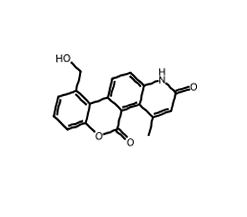 Cc1cc(=O)[nH]c2ccc3c4c(CO)cccc4oc(=O)c3c12